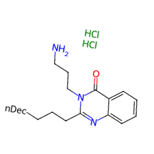 CCCCCCCCCCCCCc1nc2ccccc2c(=O)n1CCCN.Cl.Cl